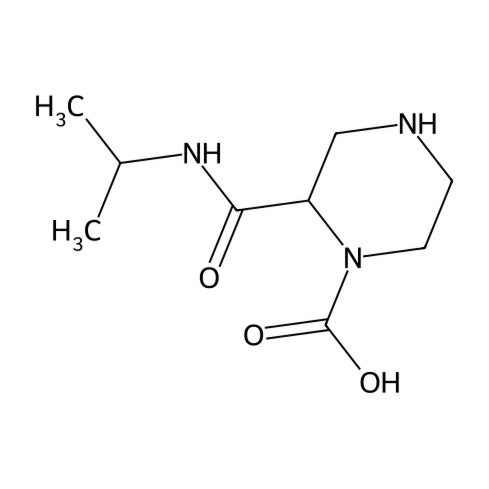 CC(C)NC(=O)C1CNCCN1C(=O)O